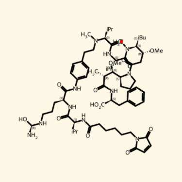 CC[C@H](C)[C@@H]([C@@H](CC(=O)N1CCC[C@H]1[C@H](OC)[C@@H](C)C(=O)N[C@@H](Cc1ccccc1)C(=O)O)OC)N(C)C(=O)[C@@H](NC(=O)[C@H](C(C)C)N(C)CCc1ccc(NC(=O)[C@H](CCCN[C@@H](N)O)NC(=O)[C@@H](NC(=O)CCCCCN2C(=O)C=CC2=O)C(C)C)cc1)C(C)C